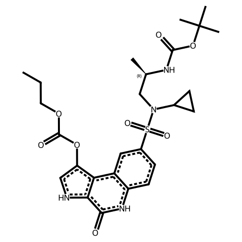 CCCOC(=O)Oc1c[nH]c2c(=O)[nH]c3ccc(S(=O)(=O)N(C[C@@H](C)NC(=O)OC(C)(C)C)C4CC4)cc3c12